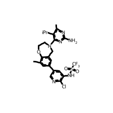 Cc1cc(-c2cnc(Cl)c(NS(=O)(=O)C(F)(F)F)c2)cc2c1OCCN(c1nc(N)nc(C)c1C(C)C)C2